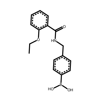 CCOc1ccccc1C(=O)NCc1ccc(B(O)O)cc1